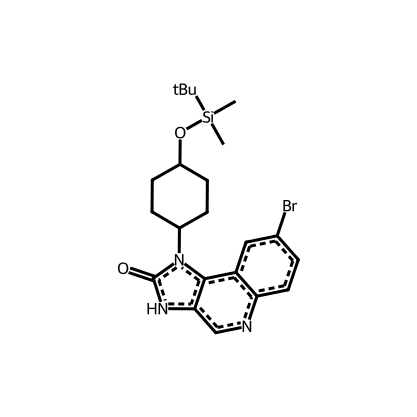 CC(C)(C)[Si](C)(C)OC1CCC(n2c(=O)[nH]c3cnc4ccc(Br)cc4c32)CC1